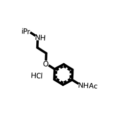 CC(=O)Nc1ccc(OCCNC(C)C)cc1.Cl